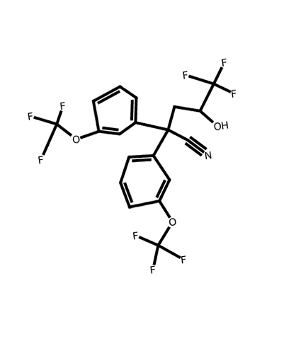 N#CC(CC(O)C(F)(F)F)(c1cccc(OC(F)(F)F)c1)c1cccc(OC(F)(F)F)c1